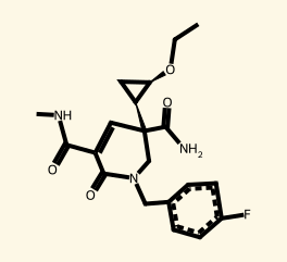 CCO[C@@H]1C[C@@H]1C1(C(N)=O)C=C(C(=O)NC)C(=O)N(Cc2ccc(F)cc2)C1